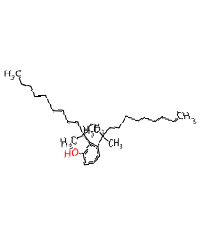 CCCCCCCCCC(C)(C)c1cccc(O)c1C(C)(C)CCCCCCCCC